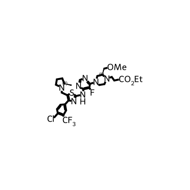 CCOC(=O)CCN1CCN(c2ncnc(Nc3nc(-c4ccc(Cl)c(C(F)(F)F)c4)c(CN4CCC[C@H]4C)s3)c2F)C[C@H]1COC